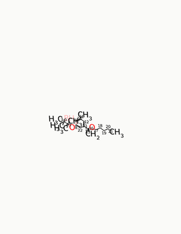 BC(C)(C)C(C)(C)Oc1cc(C)cc(C(=C)OCCCCC)c1